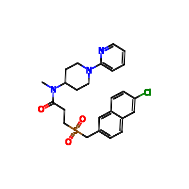 CN(C(=O)CCS(=O)(=O)Cc1ccc2cc(Cl)ccc2c1)C1CCN(c2ccccn2)CC1